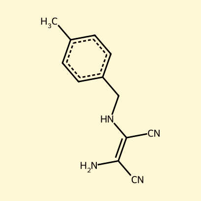 Cc1ccc(CN/C(C#N)=C(\N)C#N)cc1